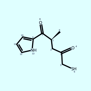 C[C@@H](CC(=O)CS)C(=O)c1ccc[nH]1